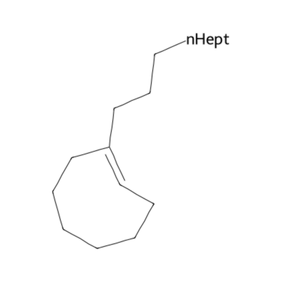 CCCCCCCCCC/C1=C\CCCCCC1